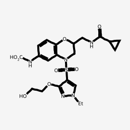 CCn1cc(S(=O)(=O)N2CC(CNC(=O)C3CC3)Oc3ccc(NC(=O)O)cc32)c(OCCO)n1